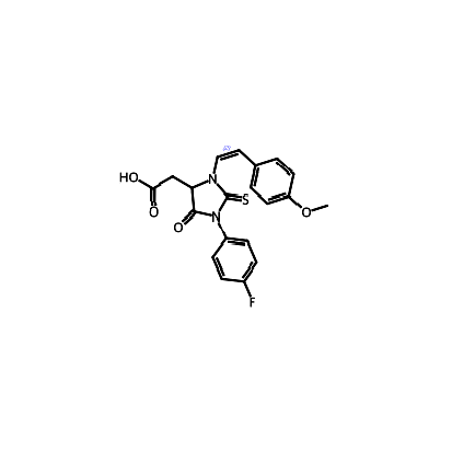 COc1ccc(/C=C\N2C(=S)N(c3ccc(F)cc3)C(=O)C2CC(=O)O)cc1